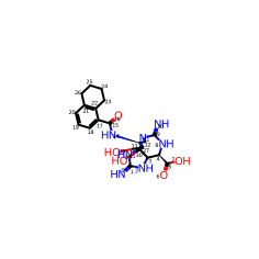 N=C1NC2[C@H](C(=O)O)NC(=N)N3C[C@H](NC(=O)c4cccc5c4CCCC5)C(O)(O)C23N1